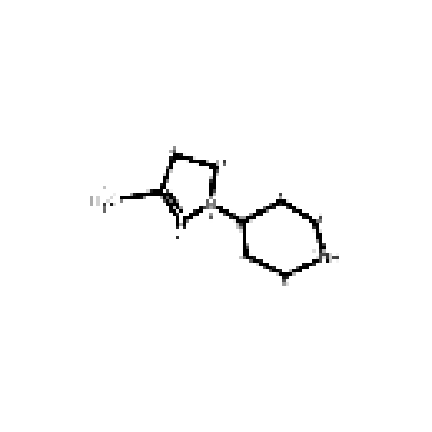 CC1=NN(C2CCNCC2)CC1